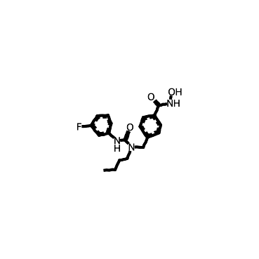 CCCCN(Cc1ccc(C(=O)NO)cc1)C(=O)Nc1cccc(F)c1